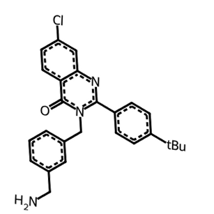 CC(C)(C)c1ccc(-c2nc3cc(Cl)ccc3c(=O)n2Cc2cccc(CN)c2)cc1